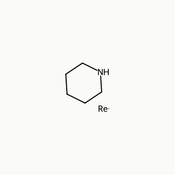 C1CCNCC1.[Re]